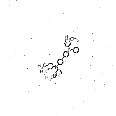 C=C/C=C\C(=C/C=C)N(C(/C=C\C)=C/C=C\C)c1ccc(-c2ccc(N(C(/C=C\C)=C/C=C)c3ccccc3)cc2)cc1